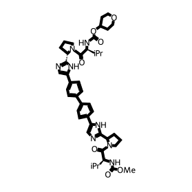 COC(=O)N[C@H](C(=O)N1CCCC1c1ncc(-c2ccc(-c3ccc(-c4cnc([C@@H]5CCCN5C(=O)[C@@H](NC(=O)OC5CCOCC5)C(C)C)[nH]4)cc3)cc2)[nH]1)C(C)C